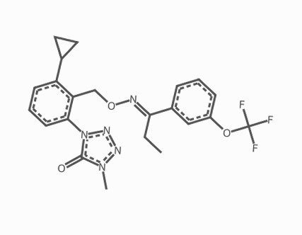 CCC(=NOCc1c(C2CC2)cccc1-n1nnn(C)c1=O)c1cccc(OC(F)(F)F)c1